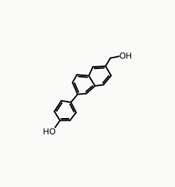 OCc1ccc2cc(-c3ccc(O)cc3)ccc2c1